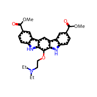 CCN(CC)CCOc1c2[nH]c3ccc(C(=O)OC)cc3c2cc2c1[nH]c1ccc(C(=O)OC)cc12